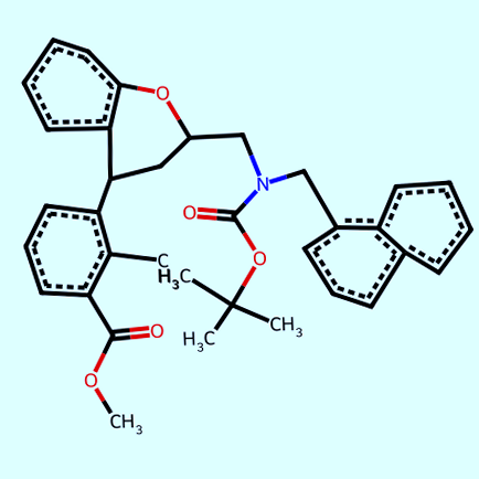 COC(=O)c1cccc(C2CC(CN(Cc3cccc4ccccc34)C(=O)OC(C)(C)C)Oc3ccccc32)c1C